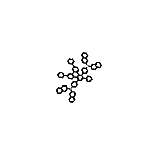 c1ccc(-c2ccc3c(c2)c2cc(-c4ccccc4)ccc2c2c(-c4ccc(N(c5ccc6ccccc6c5)c5ccc6ccccc6c5)cc4)c(-c4ccccc4)cc(-c4ccc(N(c5ccc6ccccc6c5)c5ccc6ccccc6c5)cc4)c32)cc1